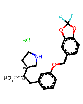 Cl.O=C(O)[C@@H](Cc1cccc(OCc2ccc3c(c2)OC(F)(F)O3)c1)[C@H]1CCNC1